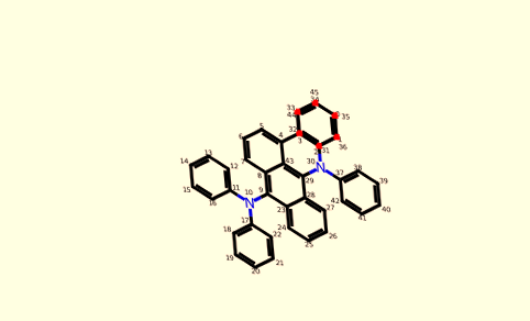 c1ccc(-c2cccc3c(N(c4ccccc4)c4ccccc4)c4ccccc4c(N(c4ccccc4)c4ccccc4)c23)cc1